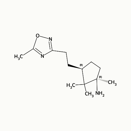 Cc1nc(CC[C@H]2CC[C@@](C)(N)C2(C)C)no1